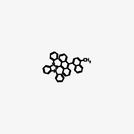 Cc1ccc(-c2c3ccccc3c(B3N(c4ccccc4)c4ccccc4N3c3ccccc3)c3ccccc23)c2ccccc12